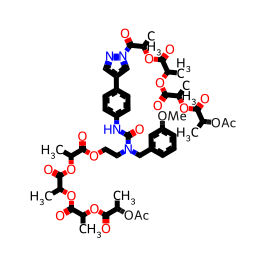 COc1cccc(CN(CCOC(=O)C(C)OC(=O)C(C)OC(=O)C(C)OC(=O)C(C)OC(C)=O)C(=O)Nc2ccc(-c3cnn(C(=O)C(C)OC(=O)C(C)OC(=O)C(C)OC(=O)C(C)OC(C)=O)c3)cc2)c1